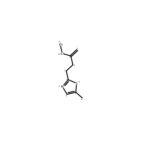 C=C(CCc1ncc(C)s1)OCC